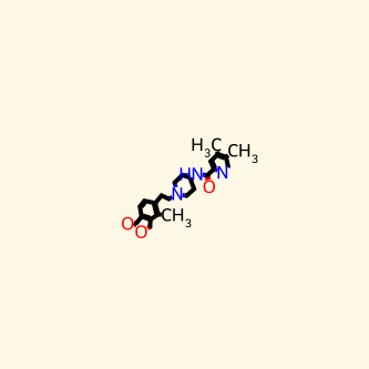 Cc1cnc(C(=O)NC2CCN(CCc3ccc4c(c3C)COC4=O)CC2)cc1C